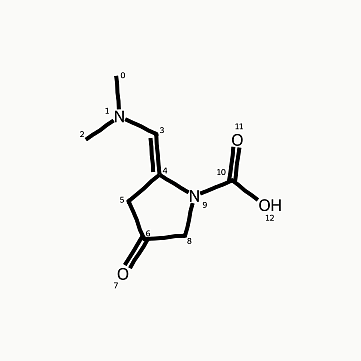 CN(C)C=C1CC(=O)CN1C(=O)O